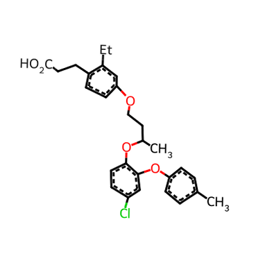 CCc1cc(OCCC(C)Oc2ccc(Cl)cc2Oc2ccc(C)cc2)ccc1CCC(=O)O